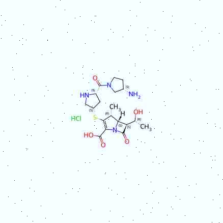 C[C@@H](O)[C@H]1C(=O)N2C(C(=O)O)=C(S[C@@H]3CN[C@H](C(=O)N4CC[C@H](N)C4)C3)[C@H](C)[C@H]12.Cl